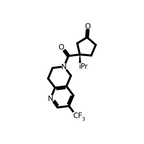 CC(C)[C@]1(C(=O)N2CCc3ncc(C(F)(F)F)cc3C2)CCC(=O)C1